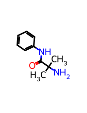 CC(C)(N)C(=O)Nc1ccccc1